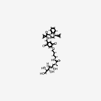 CN(C[C@H](O)[C@@H](O)[C@H](O)[C@H](O)CO)C(=O)NCCCCOc1cc(Cl)c(CNC2(C(=O)N3CCN(C4CC4)c4ccccc43)CC2)cc1Cl